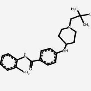 CC(C)(O)CN1CCC(Nc2ccc(C(=O)Nc3ccccc3N)cc2)CC1